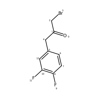 O=C(CBr)Cc1ccc(F)c(F)c1